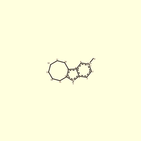 C[n+]1ccc2sc3c(c2c1)CCCCCC3